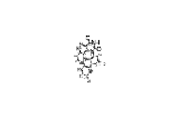 Cc1cccc(-n2c(=O)[nH]c(=O)c3cnc4ccc(-c5ccc(C)nc5)nc4c32)c1